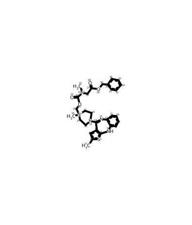 Cc1cc2c(s1)Nc1ccccc1N=C2N1CC[N+](C)(COC(=O)N(C)CC(=O)OCc2ccccc2)CC1